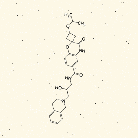 CC(C)OC1CC2(C1)Oc1ccc(C(=O)NCC(O)CN3CCc4ccccc4C3)cc1NC2=O